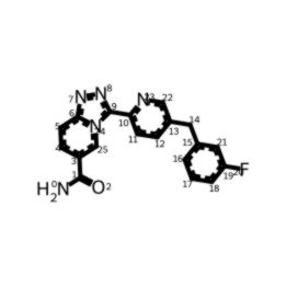 NC(=O)c1ccc2nnc(-c3ccc(Cc4cccc(F)c4)cn3)n2c1